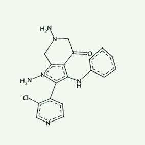 NN1CC(=O)c2c(Nc3ccccc3)c(-c3ccncc3Cl)n(N)c2C1